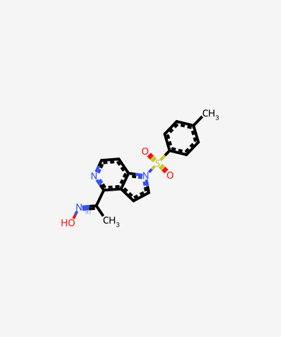 C/C(=N\O)c1nccc2c1ccn2S(=O)(=O)c1ccc(C)cc1